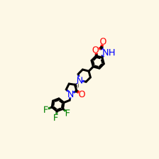 O=C1[C@@H](N2CCC(c3ccc4[nH]c(=O)oc4c3)CC2)CCN1Cc1ccc(F)c(F)c1F